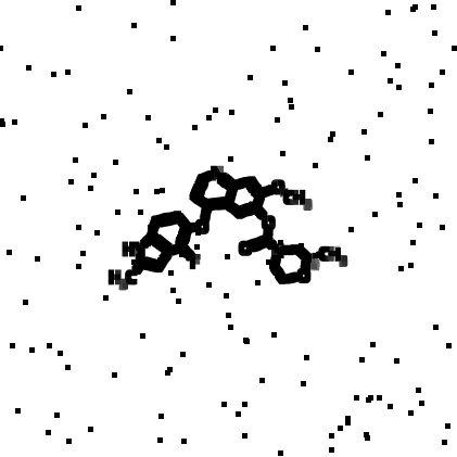 COc1cc2nccc(Oc3ccc4[nH]c(C)cc4c3F)c2cc1OC(=O)N1CCO[C@@H](C)C1